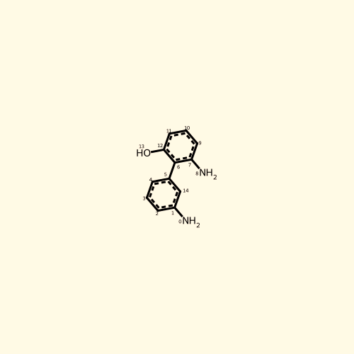 Nc1cccc(-c2c(N)cccc2O)c1